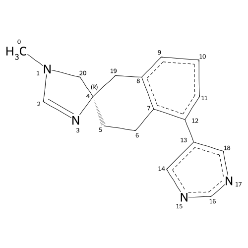 CN1C=N[C@@]2(CCc3c(cccc3-c3cncnc3)C2)C1